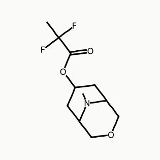 CN1C2COCC1CC(OC(=O)C(C)(F)F)C2